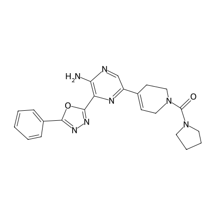 Nc1ncc(C2=CCN(C(=O)N3CCCC3)CC2)nc1-c1nnc(-c2ccccc2)o1